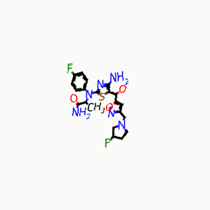 CC(C(N)=O)N(c1ccc(F)cc1)c1nc(N)c(C(=O)c2cc(CN3CCC(F)C3)no2)s1